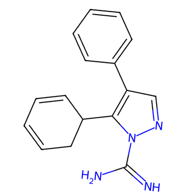 N=C(N)n1ncc(-c2ccccc2)c1C1C=CC=CC1